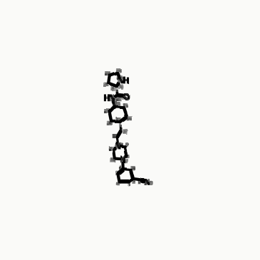 N#Cc1cccc(N2CCN(CC[C@H]3CC[C@H](NC(=O)[C@@H]4CCCN4)CC3)CC2)c1